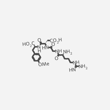 COc1ccc(C[C@H](NC(=O)[C@H](CC(=O)O)NC(=O)CNC(=O)[C@@H](N)CCCNC(=N)N)C(=O)O)cc1